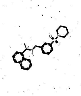 C[C@@H](NCc1cccc(S(=O)(=O)N2CCCCC2)c1)c1cccc2ccccc12